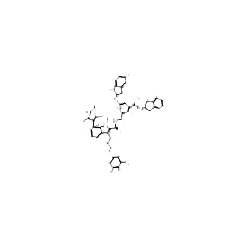 Cc1cc(OCCCc2c(C(=O)NCc3cc(C(=O)NC4Cc5ccccc5C4)cc(NC4Cc5ccccc5C4)n3)[nH]c3c(-c4c(C)nn(C)c4C)cccc23)cc(C)c1Cl